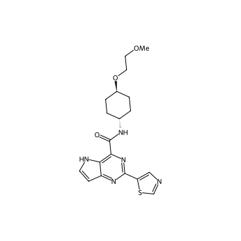 COCCO[C@H]1CC[C@H](NC(=O)c2nc(-c3cncs3)nc3cc[nH]c23)CC1